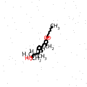 C=C1CC[C@H](OC(=O)CCCCCCC)C/C1=C/C=C1\CCC[C@]2(C)[C@@H]([C@H](C)CCCC(C)(C)O)CC[C@@H]12